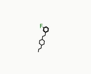 CCCC1CCC(CCc2cccc(F)c2)CC1